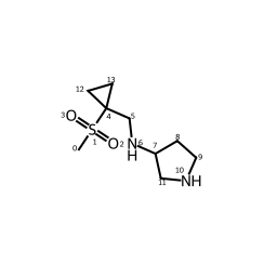 CS(=O)(=O)C1(CNC2CCNC2)CC1